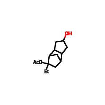 CCC1(OC(C)=O)CC2CC1C1CC(O)CC21